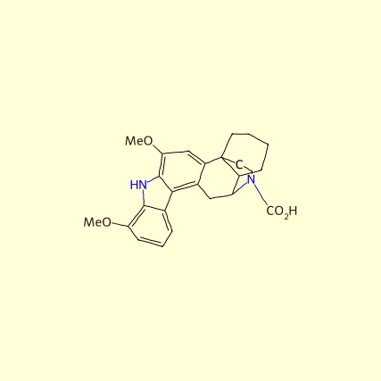 COc1cccc2c1[nH]c1c(OC)cc3c(c12)CC1C2CCCCC32CCN1C(=O)O